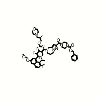 CCc1c(F)ccc2cc(OCOC)cc(-c3ncc4c(N5CCCn6nc(C(=O)N7CCN(C(=O)OCc8ccccc8)CC7)cc6C5)nc(OC[C@H](C)CN5CCOCC5)nc4c3F)c12